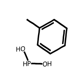 Cc1ccccc1.OPO